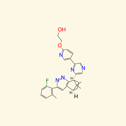 Cc1cccc(F)c1-c1cc2c(nn1)[C@@]1(c3cncc(-c4ccc(OCCO)nc4)n3)CC[C@@H]2C1(C)C